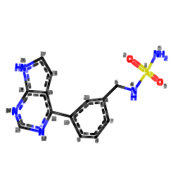 NS(=O)(=O)NCc1cccc(-c2ncnc3[nH]ccc23)c1